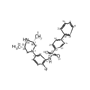 C[C@@H]1CN(c2ccc(F)c(NS(=O)(=O)c3ccc(-c4ccccc4)cc3)c2)C[C@H](C)N1